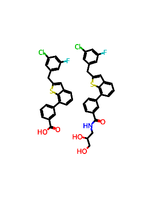 O=C(NCC(O)CO)c1cccc(-c2cccc3cc(Cc4cc(F)cc(Cl)c4)sc23)c1.O=C(O)c1cccc(-c2cccc3cc(Cc4cc(F)cc(Cl)c4)sc23)c1